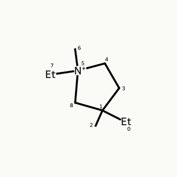 CCC1(C)CC[N+](C)(CC)C1